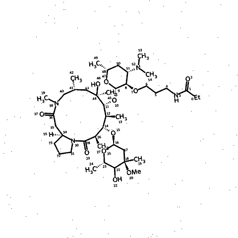 CCC(=O)NCCCO[C@H]1[C@H](O[C@@H]2[C@@H](C)[C@H](O[C@H]3C[C@@](C)(OC)C(O)[C@H](C)O3)[C@@H](C)C(=O)N3CCC[C@H]3CC(=O)N(C)C[C@H](C)C[C@@]2(C)O)O[C@H](C)C[C@@H]1N(C)C